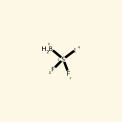 BS(F)(F)I